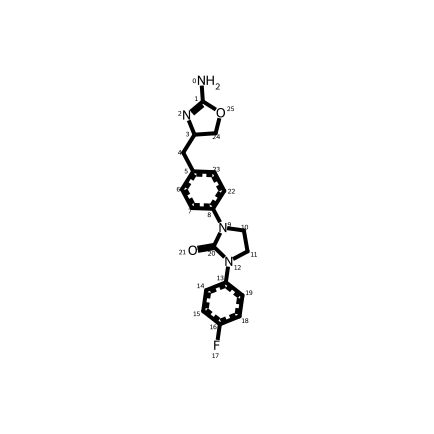 NC1=NC(Cc2ccc(N3CCN(c4ccc(F)cc4)C3=O)cc2)CO1